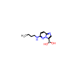 CCCCNc1ccc2ncc(B(O)O)n2n1